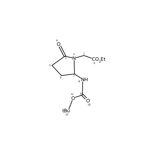 CCOC(=O)CN1C(=O)CCC1NC(=O)OC(C)(C)C